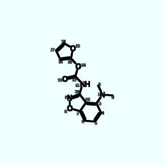 CN(C)c1cccc2onc(NC(=O)Oc3ccco3)c12